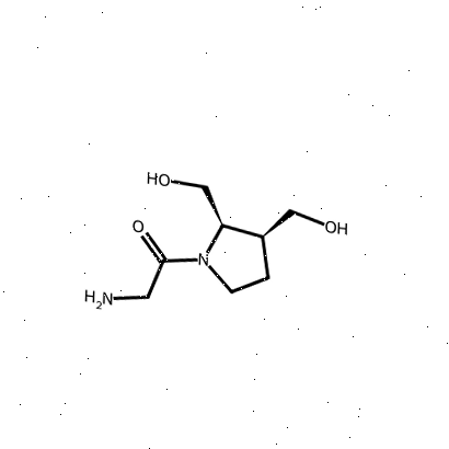 NCC(=O)N1CC[C@H](CO)[C@@H]1CO